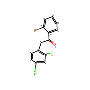 O=C(Cc1ccc(Cl)cc1Cl)c1ccccc1Br